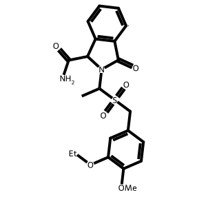 CCOc1cc(CS(=O)(=O)C(C)N2C(=O)c3[c]cccc3C2C(N)=O)ccc1OC